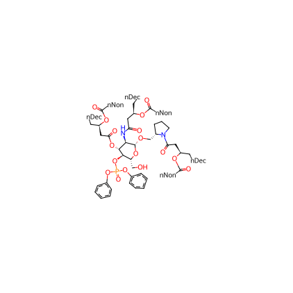 CCCCCCCCCCC[C@H](CC(=O)N[C@H]1[C@H](OC[C@@H]2CCCN2C(=O)C[C@@H](CCCCCCCCCCC)OC(=O)CCCCCCCCC)O[C@H](CO)[C@@H](OP(=O)(Oc2ccccc2)Oc2ccccc2)[C@@H]1OC(=O)C[C@@H](CCCCCCCCCCC)OC(=O)CCCCCCCCC)OC(=O)CCCCCCCCC